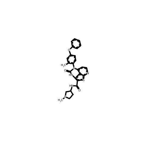 Cc1cc(Oc2ccccc2)ccc1N1C(=O)Nc2c(C(=O)NC3CCN(C)C3)sc3nccc1c23